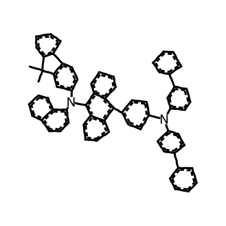 CC1(C)c2ccccc2-c2ccc(N(c3cccc4ccccc34)c3c4ccccc4c(-c4ccc(N(c5ccc(-c6ccccc6)cc5)c5cccc(-c6ccccc6)c5)cc4)c4ccccc34)cc21